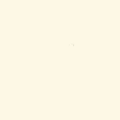 N#CSc1ccccc1O